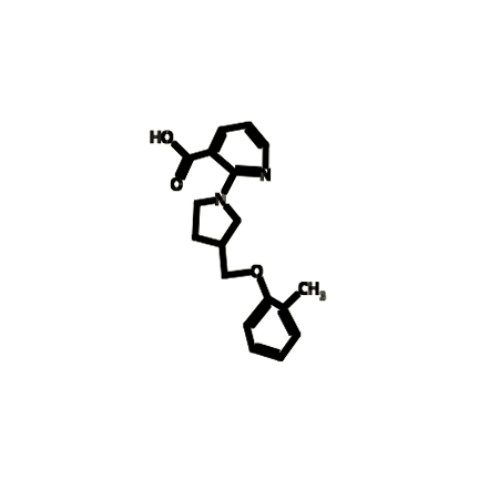 Cc1ccccc1OCC1CCN(c2ncccc2C(=O)O)C1